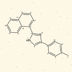 Cc1ccc(-c2c[nH]c(-c3cccc4ccccc34)n2)cc1